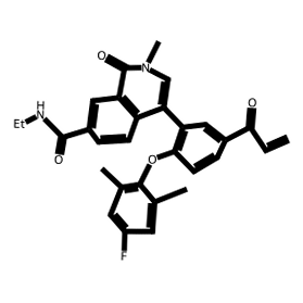 C=CC(=O)c1ccc(Oc2c(C)cc(F)cc2C)c(-c2cn(C)c(=O)c3cc(C(=O)NCC)ccc23)c1